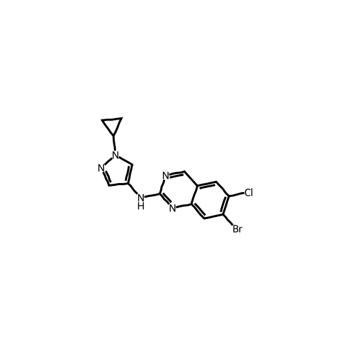 Clc1cc2cnc(Nc3cnn(C4CC4)c3)nc2cc1Br